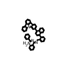 N/C(=N\C(=N/Cc1ccccc1-c1ccc(-c2ccc3c4cccc5c6ccccc6n(c3c2)c54)c2ccccc12)c1ccccc1)c1ccccc1